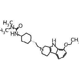 CCOc1cccc2c3c([nH]c12)CN(CC[C@H]1CC[C@H](NC(=O)N(C)C)CC1)CC3